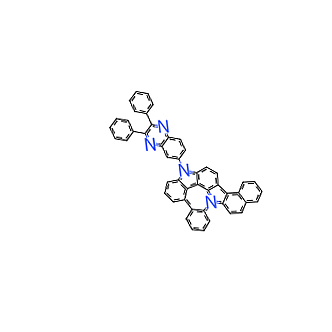 c1ccc(-c2nc3ccc(-n4c5cccc6c7ccccc7n7c8ccc9ccccc9c8c8ccc4c(c65)c87)cc3nc2-c2ccccc2)cc1